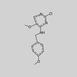 COc1ccc(CNc2nc(Cl)ncc2OC)cc1